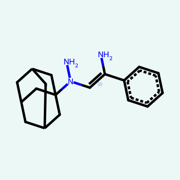 N/C(=C\N(N)C12CC3CC(CC(C3)C1)C2)c1ccccc1